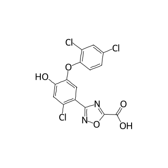 O=C(O)c1nc(-c2cc(Oc3ccc(Cl)cc3Cl)c(O)cc2Cl)no1